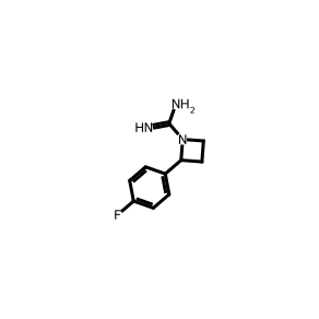 N=C(N)N1CCC1c1ccc(F)cc1